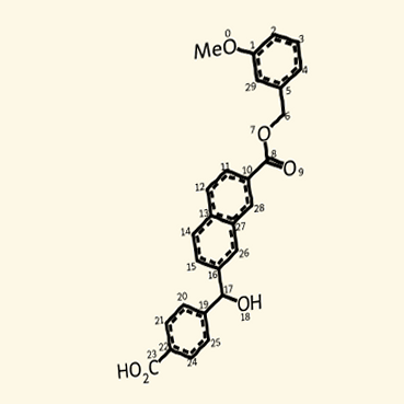 COc1cccc(COC(=O)c2ccc3ccc(C(O)c4ccc(C(=O)O)cc4)cc3c2)c1